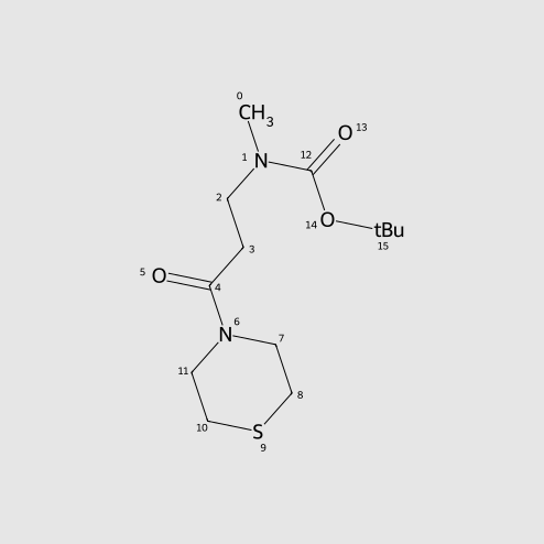 CN(CCC(=O)N1CCSCC1)C(=O)OC(C)(C)C